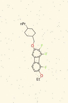 CCCC1CCC(COc2cc3c(c(F)c2F)-c2c-3ccc(OCC)c2F)CC1